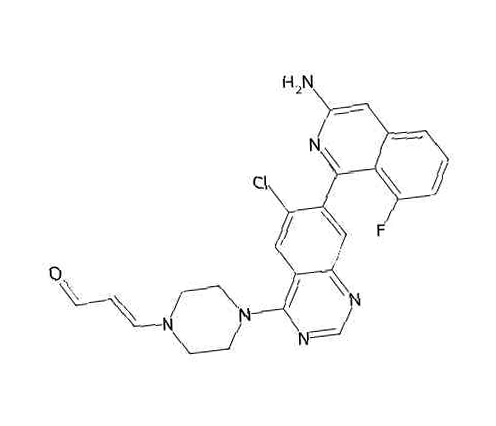 Nc1cc2cccc(F)c2c(-c2cc3ncnc(N4CCN(C=CC=O)CC4)c3cc2Cl)n1